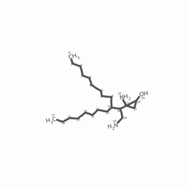 CCCCCCCCCC(CCCCCCCC)C(CN)C1(N)CC1O